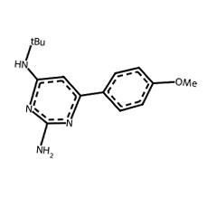 COc1ccc(-c2cc(NC(C)(C)C)nc(N)n2)cc1